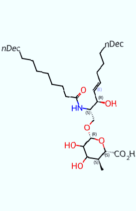 CCCCCCCCCCCCC/C=C/[C@@H](O)[C@H](CO[C@@H]1O[C@H](C(=O)O)[C@@H](C)C(O)C1O)NC(=O)CCCCCCCCCCCCCCCCC